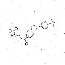 CC[C@H](CNC(=O)OC)C(=O)N1CCC2(CCC(c3ccc(C(C)(C)C)cc3)C2)CC1